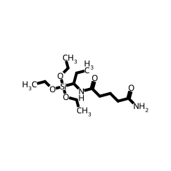 CCO[Si](OCC)(OCC)C(CC)NC(=O)CCCC(N)=O